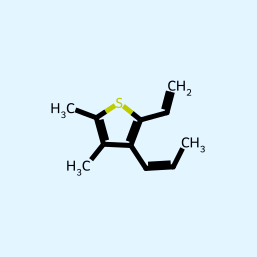 C=Cc1sc(C)c(C)c1/C=C\C